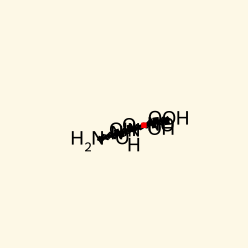 NCCCCCN(O)C(=O)CCC(=O)NCCCCCN(O)C(=O)CCC(=O)O